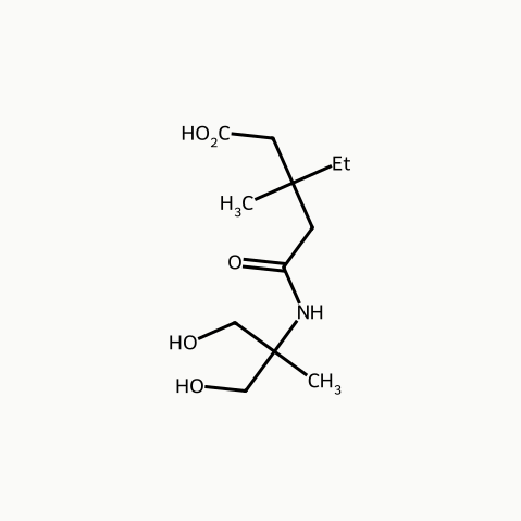 CCC(C)(CC(=O)O)CC(=O)NC(C)(CO)CO